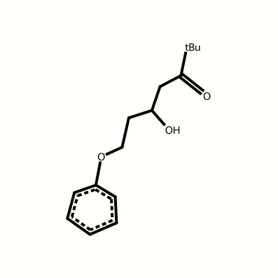 CC(C)(C)C(=O)CC(O)CCOc1ccccc1